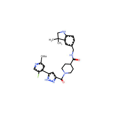 COc1cc(-c2cc(C(=O)N3CCC(C(=O)NCc4ccc5c(c4)C(C)(C)CN5)CC3)n[nH]2)c(F)cn1